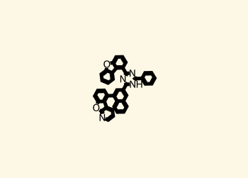 c1ccc(C2=NC(c3cccc4oc5ccccc5c34)=NC(c3cc(-c4cccc5oc6ncccc6c45)c4ccccc4c3)N2)cc1